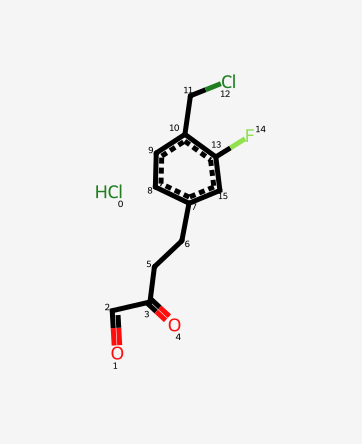 Cl.O=CC(=O)CCc1ccc(CCl)c(F)c1